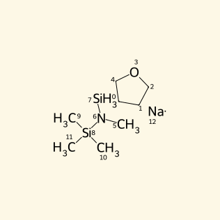 C1CCOC1.CN([SiH3])[Si](C)(C)C.[Na]